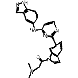 CN(C)CC(=O)n1ccc2ccc(-c3nccc(Nc4ccc5[nH]ncc5c4)n3)cc21